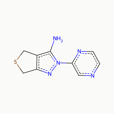 Nc1c2c(nn1-c1cnccn1)CSC2